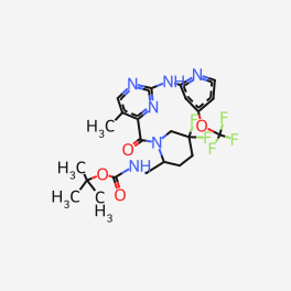 Cc1cnc(Nc2cc(OC(F)(F)F)ccn2)nc1C(=O)N1CC(F)(F)CCC1CNC(=O)OC(C)(C)C